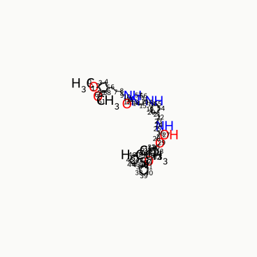 COc1ccc(CCCCNC(=O)N2CCC(Nc3ccc(CCNC[C@H](O)COc4ccc(O[Si](c5ccccc5)(c5ccccc5)C(C)(C)C)cc4)cc3)CC2)cc1OC